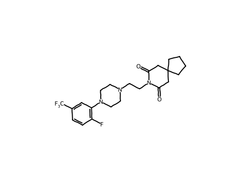 O=C1CC2(CCCC2)CC(=O)N1CCN1CCN(c2cc(C(F)(F)F)ccc2F)CC1